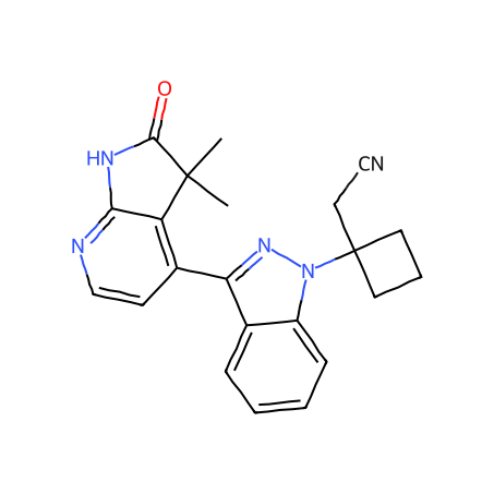 CC1(C)C(=O)Nc2nccc(-c3nn(C4(CC#N)CCC4)c4ccccc34)c21